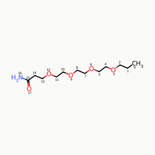 CCCOCCOCCOCCOCCC(N)=O